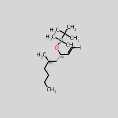 CCCC[C@@H](C)C[C@@H](C=CI)O[Si](C)(C)C(C)(C)C